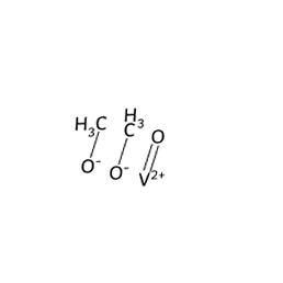 C[O-].C[O-].[O]=[V+2]